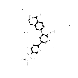 CCN(C)S(=O)(=O)c1ccc(-c2cnc(N)c(-c3ccc4c(c3)CCNC4=O)c2)nc1